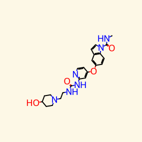 CNC(=O)n1ccc2cc(Oc3ccnc(NC(=O)NCCN4CCC(O)CC4)c3)ccc21